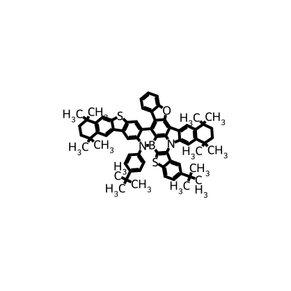 CC(C)(C)c1ccc(N2B3c4sc5ccc(C(C)(C)C)cc5c4-n4c5cc6c(cc5c5c7oc8ccccc8c7c(c3c54)-c3cc4sc5cc7c(cc5c4cc32)C(C)(C)CCC7(C)C)C(C)(C)CCC6(C)C)cc1